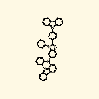 c1ccc(-n2c(-c3ccc(-n4c5ccccc5c5ccccc54)cn3)nc3ccc(N4c5ccccc5-n5c6ccccc6c6cccc4c65)cc32)cc1